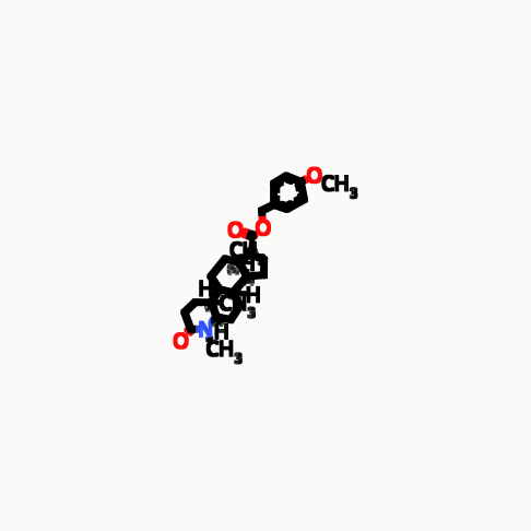 COc1ccc(COC(=O)[C@H]2CC[C@H]3[C@@H]4CC[C@H]5N(C)C(=O)CC[C@]5(C)[C@H]4CC[C@]23C)cc1